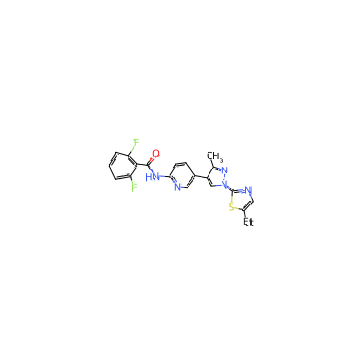 CCc1cnc(-n2cc(-c3ccc(NC(=O)c4c(F)cccc4F)nc3)c(C)n2)s1